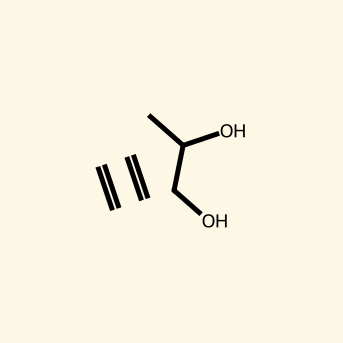 C=C.C=C.CC(O)CO